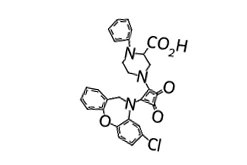 O=C(O)C1CN(c2c(N3Cc4ccccc4Oc4ccc(Cl)cc43)c(=O)c2=O)CCN1c1ccccc1